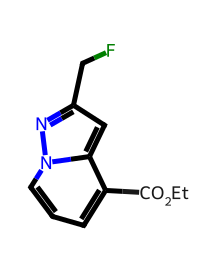 CCOC(=O)c1cccn2nc(CF)cc12